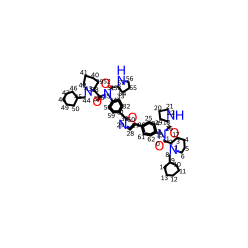 O=C(C1CCCCN1CC1CCCCC1)N(C(=O)[C@@H]1CCCN1)c1ccc(-c2cnc(-c3ccc(N(C(=O)C4CCCCN4CC4CCCCC4)C(=O)[C@@H]4CCCN4)cc3)o2)cc1